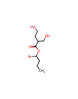 CCCC(Br)OC(=O)C(CO)CCO